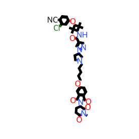 CN1C(=O)CCC(N2C(=O)c3ccc(OCCCCCN4CCC(n5cc(C(=O)NC6C(C)(C)C(Oc7ccc(C#N)c(Cl)c7)C6(C)C)cn5)C4)cc3C2=O)C1=O